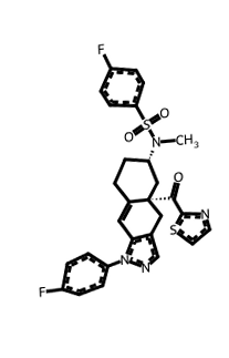 CN([C@H]1CCC2=Cc3c(cnn3-c3ccc(F)cc3)C[C@]2(C(=O)c2nccs2)C1)S(=O)(=O)c1ccc(F)cc1